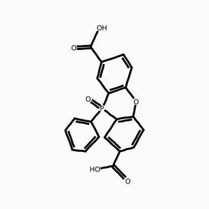 O=C(O)c1ccc2c(c1)P(=O)(c1ccccc1)c1cc(C(=O)O)ccc1O2